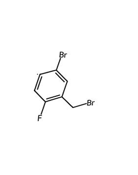 Fc1c[c]c(Br)cc1CBr